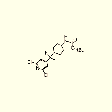 CC(C)(C)OC(=O)NC1CCC(C(F)(F)c2cc(Cl)nc(Cl)c2)CC1